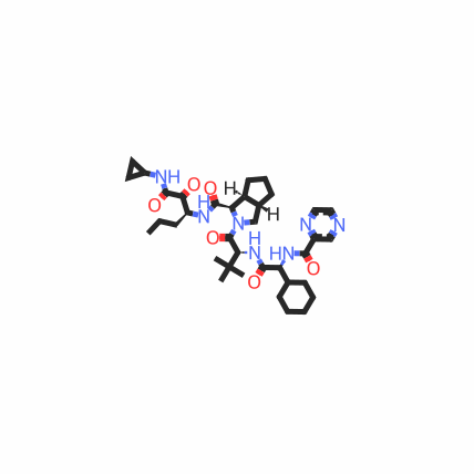 CCC[C@H](NC(=O)[C@H]1[C@H]2CCC[C@@H]2CN1C(=O)[C@H](NC(=O)[C@@H](NC(=O)c1cnccn1)C1CCCCC1)C(C)(C)C)C(=O)C(=O)NC1CC1